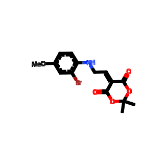 COc1ccc(NCC=C2C(=O)OC(C)(C)OC2=O)c(Br)c1